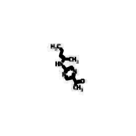 CC/C=C(\C)Nc1cnc(C(C)=O)cn1